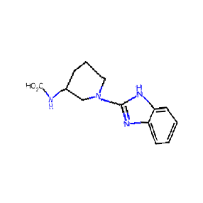 O=C(O)NC1CCCN(c2nc3ccccc3[nH]2)C1